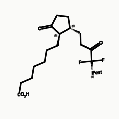 CCC[C@@H](C)C(F)(F)C(=O)CC[C@H]1CCC(=O)[C@@H]1CCCCCCC(=O)O